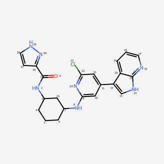 O=C(NC1CCCC(Nc2cc(-c3c[nH]c4ncccc34)cc(Cl)n2)C1)c1cc[nH]n1